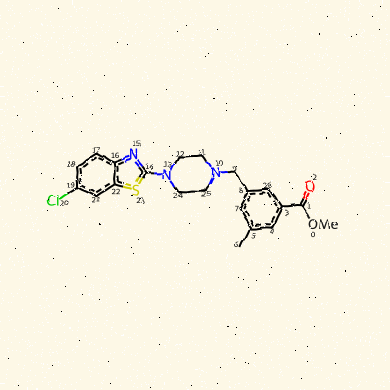 COC(=O)c1cc(C)cc(CN2CCN(c3nc4ccc(Cl)cc4s3)CC2)c1